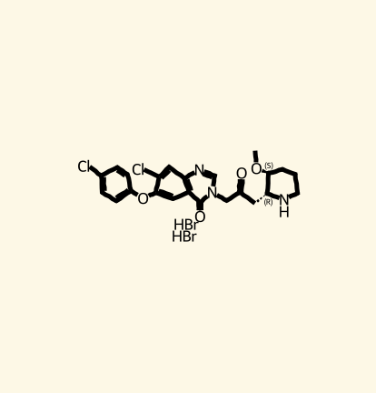 Br.Br.CO[C@H]1CCCN[C@@H]1CC(=O)Cn1cnc2cc(Cl)c(Oc3ccc(Cl)cc3)cc2c1=O